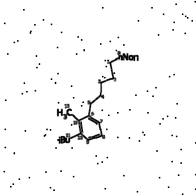 CCCCCCCCCCCCCCc1cccc([C](C)CC)c1C